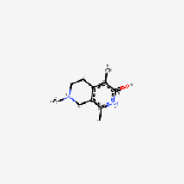 CCCN1CCc2c(c(C)[nH]c(=O)c2C#N)C1